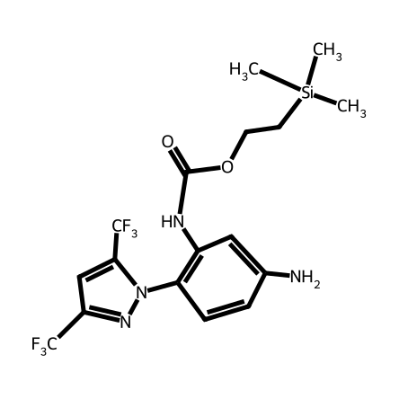 C[Si](C)(C)CCOC(=O)Nc1cc(N)ccc1-n1nc(C(F)(F)F)cc1C(F)(F)F